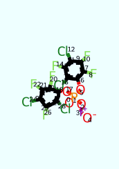 O=P(O[I+][O-])(Oc1c(F)c(F)c(Cl)c(F)c1Cl)Oc1c(F)c(F)c(Cl)c(F)c1Cl